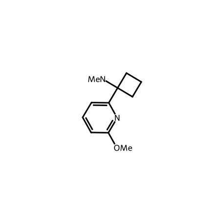 CNC1(c2cccc(OC)n2)CCC1